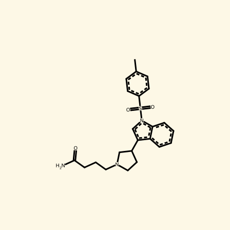 Cc1ccc(S(=O)(=O)n2cc(C3CCN(CCCC(N)=O)C3)c3ccccc32)cc1